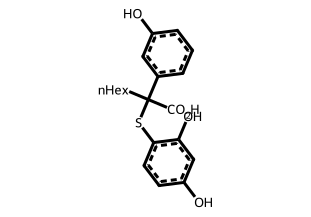 CCCCCCC(Sc1ccc(O)cc1O)(C(=O)O)c1cccc(O)c1